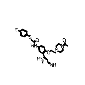 CN/C(=C\C=N)c1cc(NC(=O)CSc2ccc(F)cc2)ccc1OCCN1CCN(C(C)=O)CC1